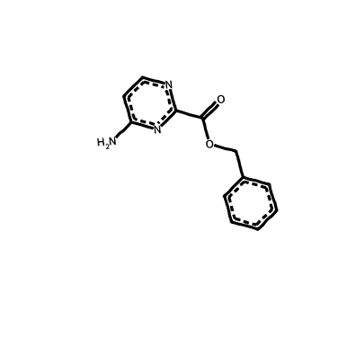 Nc1ccnc(C(=O)OCc2ccccc2)n1